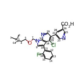 C[Si](C)(C)CCOCn1cc(-c2ccccc2F)c2c(Cl)c(-c3cncc(C(=O)O)c3)cnc21